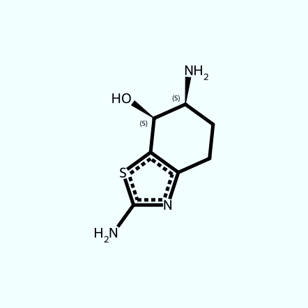 Nc1nc2c(s1)[C@@H](O)[C@@H](N)CC2